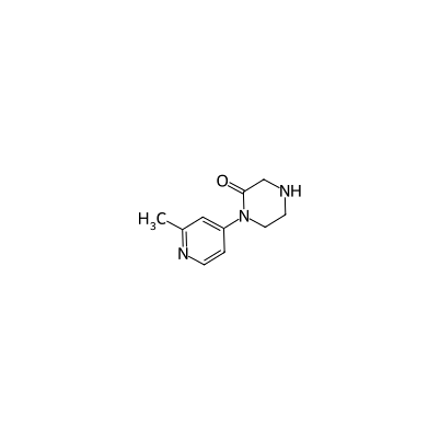 Cc1cc(N2CCNCC2=O)ccn1